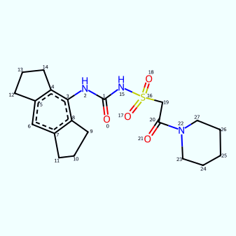 O=C(Nc1c2c(cc3c1CCC3)CCC2)NS(=O)(=O)CC(=O)N1CCCCC1